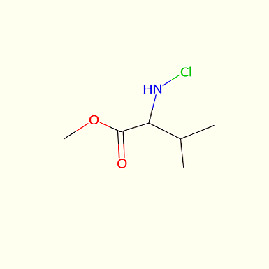 COC(=O)C(NCl)C(C)C